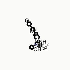 NC(N)=C(/C=C(\N)c1ccccc1O)N1CCC2CC(c3ncc(C4CCC(=O)CC4)cn3)C3C(C1)C23